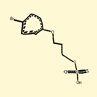 O=S(O)(=S)OCCCOc1ccc(Br)cc1